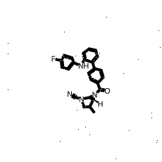 CC1CN(C#N)C2[C@@H]1N2C(=O)c1ccc(-c2ccccc2Nc2ccc(F)cc2)cc1